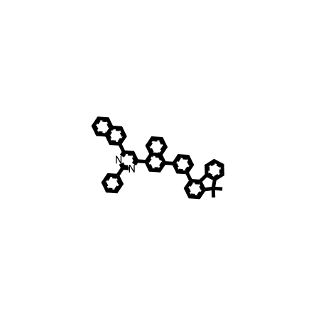 CC1(C)c2ccccc2-c2c(-c3cccc(-c4ccc(-c5cc(-c6ccc7ccccc7c6)nc(-c6ccccc6)n5)c5ccccc45)c3)cccc21